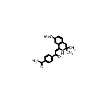 COc1ccc2c(c1)/C(=C/C(=O)c1ccc(C(N)=O)cc1)NC(C)(C)C2